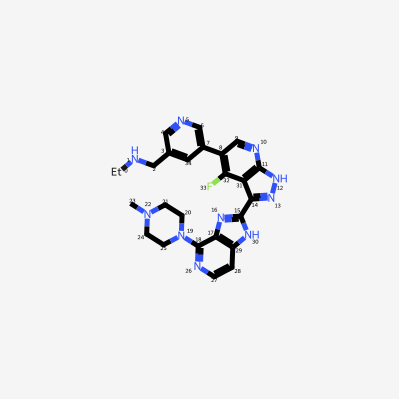 CCNCc1cncc(-c2cnc3[nH]nc(-c4nc5c(N6CCN(C)CC6)nccc5[nH]4)c3c2F)c1